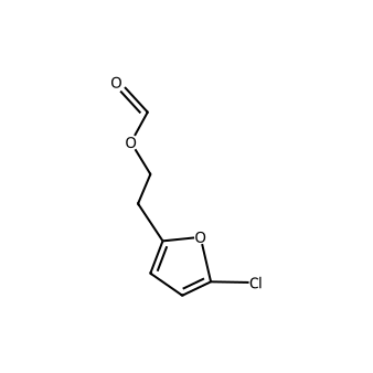 O=COCCc1ccc(Cl)o1